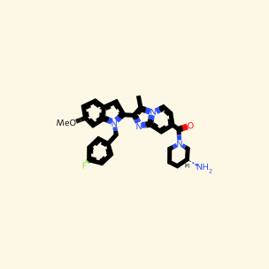 COc1ccc2cc(-c3nc4cc(C(=O)N5CCC[C@@H](N)C5)ccn4c3C)n(Cc3ccc(F)cc3)c2c1